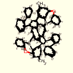 Cc1cc2c3c(c1)-c1cc(-c4ccccc4-c4ccccc4)c4cc5c6c(cc(-c7ccccc7-c7ccccc7)c7cc(c1c4c76)B3c1ccccc1O2)-c1cc(C)cc2c1B5c1ccccc1O2